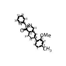 COc1cc(C)ccc1C1=Cc2cnn(-c3ccccn3)c(=O)c2CC1